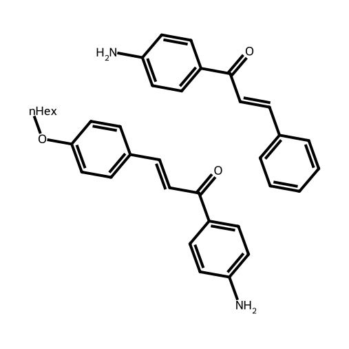 CCCCCCOc1ccc(C=CC(=O)c2ccc(N)cc2)cc1.Nc1ccc(C(=O)C=Cc2ccccc2)cc1